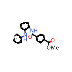 COC(=O)c1ccc(C(=O)Nc2ccccc2Nc2ccccc2)cc1